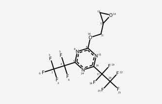 FC(F)(F)C(F)(F)c1nc(OCC2CO2)nc(C(F)(F)C(F)(F)F)n1